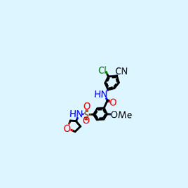 COc1ccc(S(=O)(=O)NC2CCOC2)cc1C(=O)Nc1ccc(C#N)c(Cl)c1